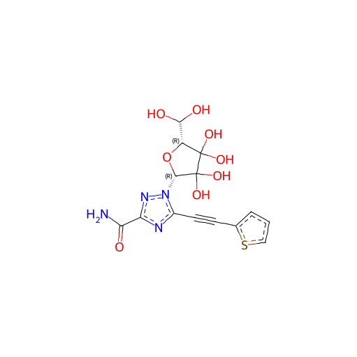 NC(=O)c1nc(C#Cc2cccs2)n([C@@H]2O[C@H](C(O)O)C(O)(O)C2(O)O)n1